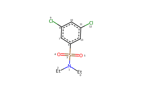 CCN(CC)S(=O)(=O)c1cc(Cl)cc(Cl)c1